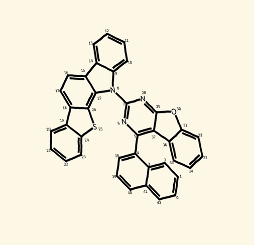 c1ccc2c(-c3nc(-n4c5ccccc5c5ccc6c7ccccc7sc6c54)nc4oc5ccccc5c34)cccc2c1